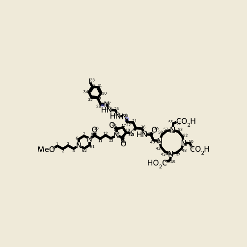 COCCCCN1CCN(C(=O)CCCN2C(=O)CC(SC(C/C=N/NCN/N=C/c3ccc(I)cc3)CNC(=O)CN3CCN(CC(=O)O)CCN(CC(=O)O)CCN(CC(=O)O)CC3)C2=O)CC1